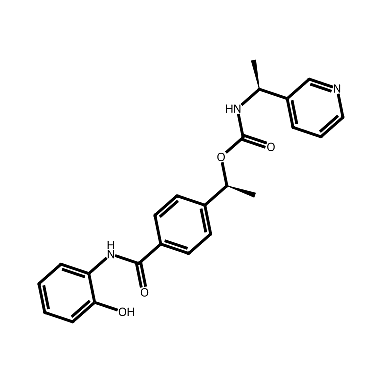 C[C@H](NC(=O)O[C@@H](C)c1ccc(C(=O)Nc2ccccc2O)cc1)c1cccnc1